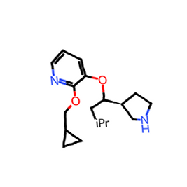 CC(C)CC(Oc1cccnc1OCC1CC1)[C@H]1CCNC1